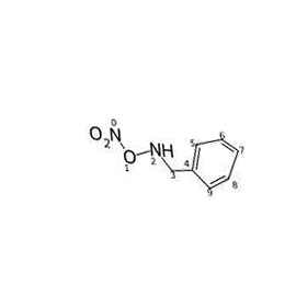 O=[N+]([O-])ONCc1ccccc1